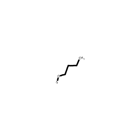 CCCCO[S]